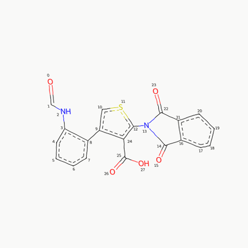 O=CNc1ccccc1-c1csc(N2C(=O)c3ccccc3C2=O)c1C(=O)O